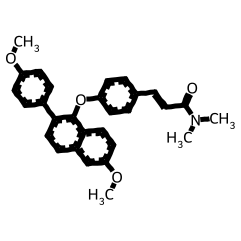 COc1ccc(-c2ccc3cc(OC)ccc3c2Oc2ccc(C=CC(=O)N(C)C)cc2)cc1